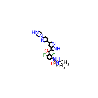 CCN(C)[S+]([O-])Nc1ccc(F)c(C(=O)c2c[nH]c3ncc(-c4ccc(N5CCNCC5)nc4)cc23)c1F